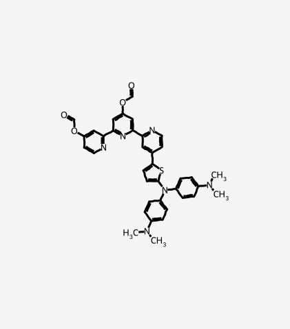 CN(C)c1ccc(N(c2ccc(N(C)C)cc2)c2ccc(-c3ccnc(-c4cc(OC=O)cc(-c5cc(OC=O)ccn5)n4)c3)s2)cc1